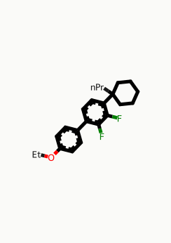 CCCC1(c2ccc(-c3ccc(OCC)cc3)c(F)c2F)CCCCC1